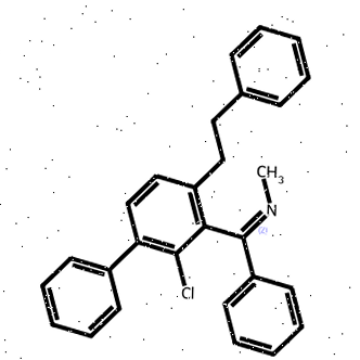 C/N=C(/c1ccccc1)c1c(CCc2ccccc2)ccc(-c2ccccc2)c1Cl